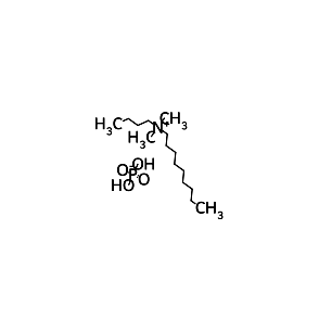 CCCCCCCCC[N+](C)(C)CCCC.O=P([O-])(O)O